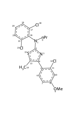 CCCN(c1nc(-c2ccc(OC)cc2Cl)c(C)s1)c1c(Cl)cccc1Cl